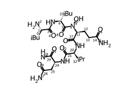 CC[C@H](C)[C@H](N)C(=O)N[C@H](C(=O)N(O)[C@@H](CCC(N)=O)C(=O)N[C@H](C(=O)N[C@@H](CC(N)=O)C(N)=O)C(C)C)[C@@H](C)CC